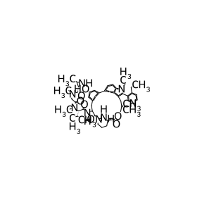 CCc1ccncc1-c1c2c3cc(ccc3n1CC)-c1cc(O)cc(c1)C[C@H](NC(=O)[C@H](C(C)C)N(C)C(=O)CN(C)C(=O)[C@H]1N[C@@H]1C)C(=O)N1CCC[C@H](N1)C(=O)OCC(C)(C)C2